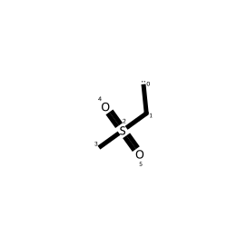 [CH]CS(C)(=O)=O